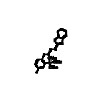 CO[Si](OC)(OC)c1cc(C)ccc1SSSSc1nc2ccccc2s1